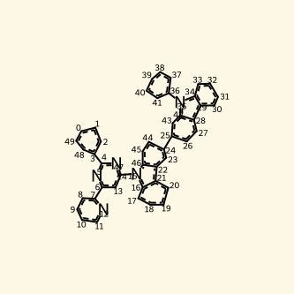 c1ccc(-c2nc(-c3ccccn3)cc(-n3c4ccccc4c4cc(-c5ccc6c7ccccc7n(-c7ccccc7)c6c5)ccc43)n2)cc1